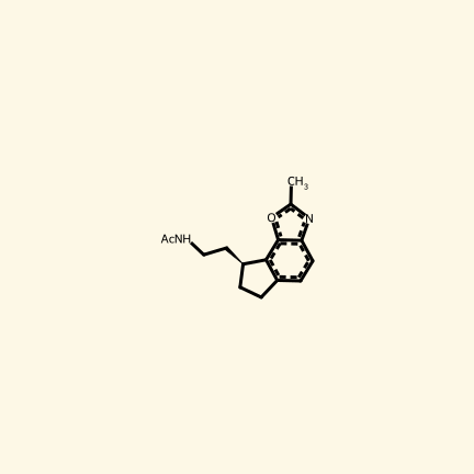 CC(=O)NCC[C@@H]1CCc2ccc3nc(C)oc3c21